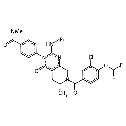 CNC(=O)c1ccc(-n2c(NC(C)C)nc3c(c2=O)C[C@@H](C)N(C(=O)c2ccc(OC(F)F)c(Cl)c2)C3)cc1